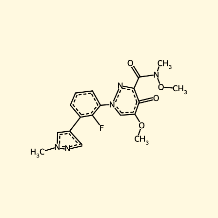 COc1cn(-c2cccc(-c3cnn(C)c3)c2F)nc(C(=O)N(C)OC)c1=O